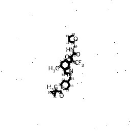 C[C@@H]1Cc2oc(C(=O)NC[C@@H]3CCCO3)c(C(F)(F)F)c2-c2nn(CC3CCN(C(=O)C4(C)CC4)CC3)cc21